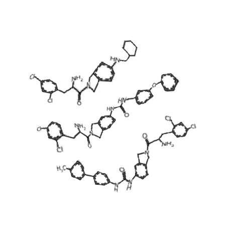 Cc1ccc(-c2ccc(NC(=O)Nc3ccc4c(c3)CN(C(=O)C(N)Cc3ccc(Cl)cc3Cl)C4)cc2)cc1.NC(Cc1ccc(Cl)cc1Cl)C(=O)N1Cc2ccc(NC(=O)Nc3cccc(Oc4ccccc4)c3)cc2C1.NC(Cc1ccc(Cl)cc1Cl)C(=O)N1Cc2ccc(NCC3CCCCC3)cc2C1